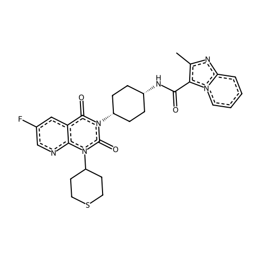 Cc1nc2ccccn2c1C(=O)N[C@H]1CC[C@@H](n2c(=O)c3cc(F)cnc3n(C3CCSCC3)c2=O)CC1